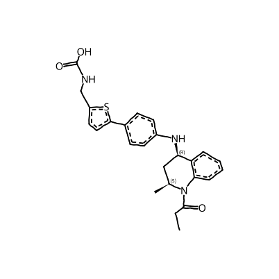 CCC(=O)N1c2ccccc2[C@H](Nc2ccc(-c3ccc(CNC(=O)O)s3)cc2)C[C@@H]1C